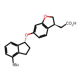 CC(C)(C)c1cccc2c1CC[C@H]2Oc1ccc2c(c1)OC[C@H]2CC(=O)O